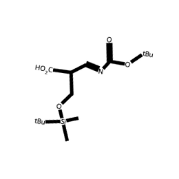 CC(C)(C)OC(=O)/N=C/C(CO[Si](C)(C)C(C)(C)C)C(=O)O